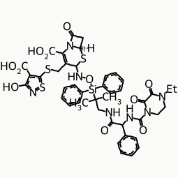 CCN1CCN(C(=O)NC(C(=O)NCC(C)(C)[Si](ONC2S[C@@H]3CC(=O)N3C(C(=O)O)=C2CSc2snc(O)c2C(=O)O)(c2ccccc2)c2ccccc2)c2ccccc2)C(=O)C1=O